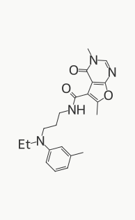 CCN(CCCNC(=O)c1c(C)oc2ncn(C)c(=O)c12)c1cccc(C)c1